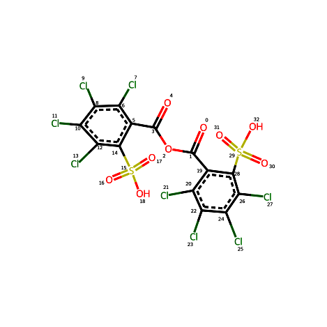 O=C(OC(=O)c1c(Cl)c(Cl)c(Cl)c(Cl)c1S(=O)(=O)O)c1c(Cl)c(Cl)c(Cl)c(Cl)c1S(=O)(=O)O